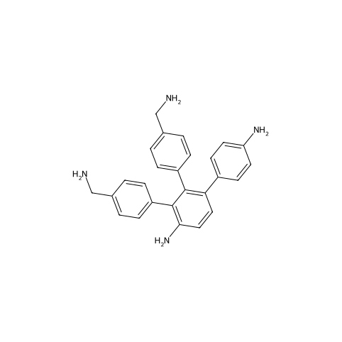 NCc1ccc(-c2c(N)ccc(-c3ccc(N)cc3)c2-c2ccc(CN)cc2)cc1